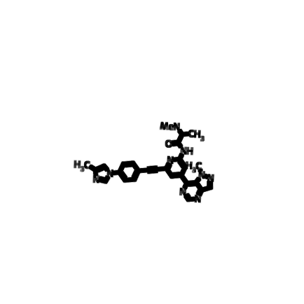 CNC(C)C(=O)Nc1cc(-c2ncnc3cnn(C)c23)cc(C#Cc2ccc(-n3cnc(C)c3)cc2)n1